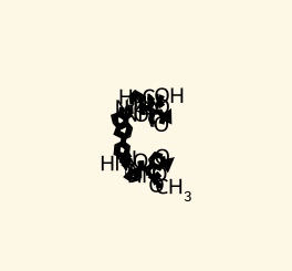 COC(=O)NC(C(=O)N1CCC[C@H]1c1nc2cc(-c3ccc4c(ccc5nc([C@@H]6CCCN6C(=O)C(C6CCOC7(CC7)C6)N(C)C(=O)O)[nH]c54)c3)ccc2[nH]1)C1CCOC2(CC2)C1